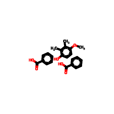 COc1ccc(O)c(C)c1C.O=C(O)c1ccccc1.O=C(O)c1ccccc1